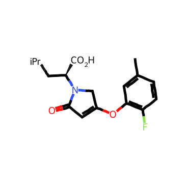 Cc1ccc(F)c(OC2=CC(=O)N([C@@H](CC(C)C)C(=O)O)C2)c1